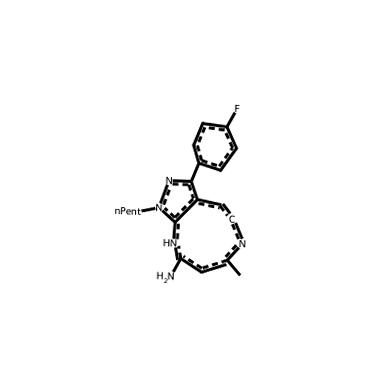 CCCCCn1nc(-c2ccc(F)cc2)c2ccnc(C)cc(N)[nH]c21